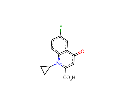 O=C(O)c1cc(=O)c2cc(F)ccc2n1C1CC1